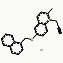 C#CC[n+]1c(C)ccc2cc(OCc3cccc4ccccc34)ccc21.[Br-]